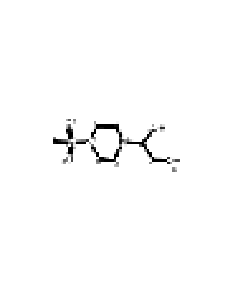 CS(=O)(=O)N1CCN(C(O)CO)CC1